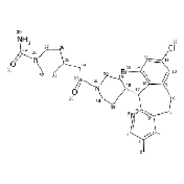 Cc1cnc2c(c1)CCc1cc(Cl)cc(Br)c1[C@H]2C1CCN(C(=O)CC2CCN(C(N)=O)CC2)CC1